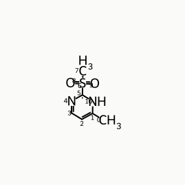 CC1=CC=N[C](S(C)(=O)=O)N1